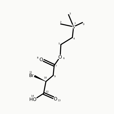 CS(C)(C)CCOC(=O)C[C@H](Br)C(=O)O